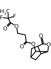 CC(F)(F)C(=O)OCCC(=O)OC1C2CC3C(=O)OC1C3C2